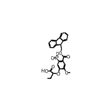 CCC(Oc1cc([N+](=O)[O-])c(C(=O)OCC2c3ccccc3-c3ccccc32)cc1OC)C(=O)O